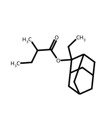 CCC(C)C(=O)OC1(CC)C2CC3CC(C2)CC1C3